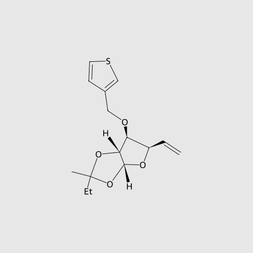 C=C[C@H]1O[C@@H]2OC(C)(CC)O[C@@H]2[C@H]1OCc1ccsc1